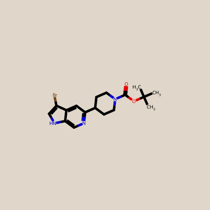 CC(C)(C)OC(=O)N1CCC(c2cc3c(Br)c[nH]c3cn2)CC1